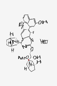 CCc1cccc2cc(O)cc(-c3c(F)cc4c(N5C[C@H]6CC[C@@H](C5)N6)nc(OC[C@H](O)CN5[C@@H]6CC[C@H]5CC(OC)C6)nc4c3F)c12.Cl.Cl